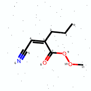 CCCC(=CC#N)C(=O)OOC